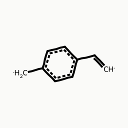 [CH]=Cc1ccc([CH2])cc1